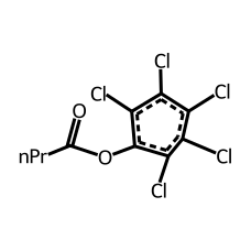 CCCC(=O)Oc1c(Cl)c(Cl)c(Cl)c(Cl)c1Cl